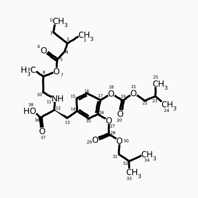 CCC(C)CC(=O)OC(C)CN[C@@H](Cc1ccc(OC(=O)OCC(C)C)c(OC(=O)OCC(C)C)c1)C(=O)O